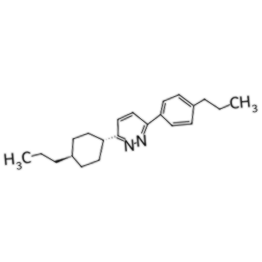 CCCc1ccc(-c2ccc([C@H]3CC[C@H](CCC)CC3)nn2)cc1